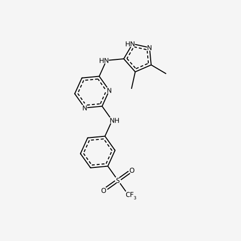 Cc1n[nH]c(Nc2ccnc(Nc3cccc(S(=O)(=O)C(F)(F)F)c3)n2)c1C